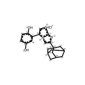 Cl.Oc1ccc(O)c(-c2csc3nc(C45CC6CC(CC(C6)C4)C5)cn23)c1